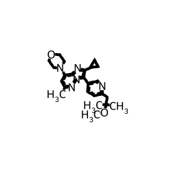 COC(C)(C)Cc1ccc(-c2c(C3CC3)nc3c(N4CCOCC4)cc(C)nn23)cn1